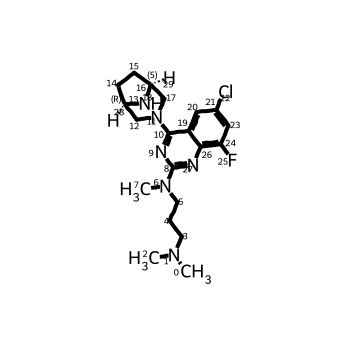 CN(C)CCCN(C)c1nc(N2C[C@H]3CC[C@@H](C2)N3)c2cc(Cl)cc(F)c2n1